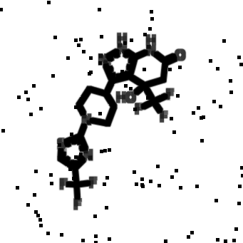 O=C1CC(O)(C(F)(F)F)c2c(C3CCN(c4nc(C(F)(F)F)cs4)CC3)n[nH]c2N1